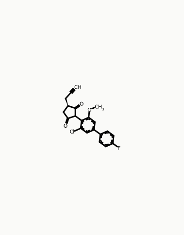 C#CC[C@@H]1CC(=O)C(c2c(Cl)cc(-c3ccc(F)cc3)cc2OC)C1=O